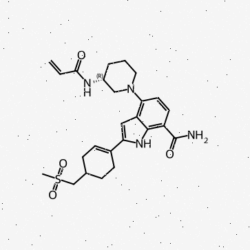 C=CC(=O)N[C@@H]1CCCN(c2ccc(C(N)=O)c3[nH]c(C4=CCC(CS(C)(=O)=O)CC4)cc23)C1